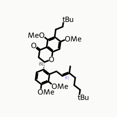 COc1cc2c(c(OC)c1CCC(C)(C)C)C(=O)C[C@@H](c1ccc(OC)c(OC)c1C/C=C(\C)CCCC(C)(C)C)O2